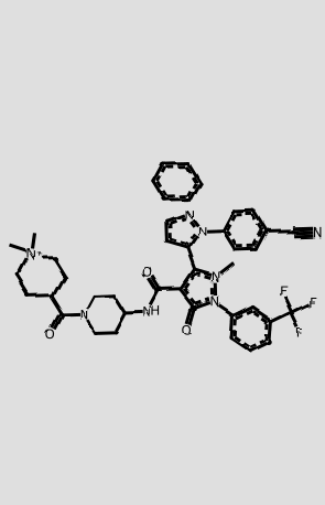 Cn1c(-c2ccnn2-c2ccc(C#N)cc2)c(C(=O)NC2CCN(C(=O)C3CC[N+](C)(C)CC3)CC2)c(=O)n1-c1cccc(C(F)(F)F)c1.c1ccccc1